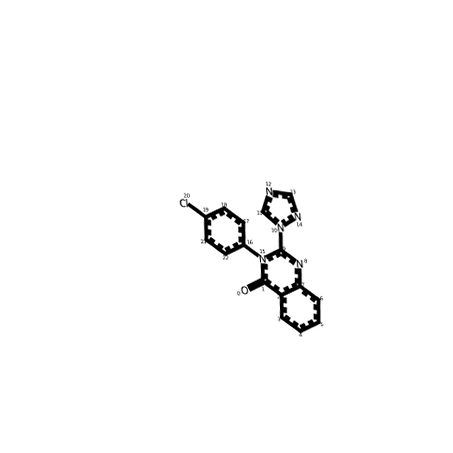 O=c1c2ccccc2nc(-n2cncn2)n1-c1ccc(Cl)cc1